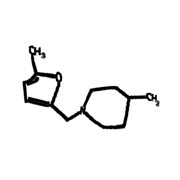 Cc1ccc(CN2CCC(C)CC2)o1